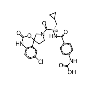 O=C(O)Nc1ccc(C(=O)N[C@@H](CC2CC2)C(=O)N2CCC3(C2)OC(=O)Nc2ccc(Cl)cc23)cc1